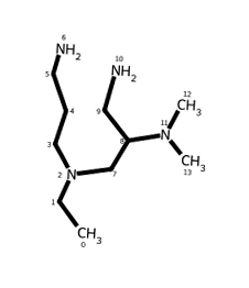 CCN(CCCN)CC(CN)N(C)C